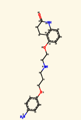 Nc1ccc(OCCCNCCOc2cccc3c2CCC(=O)N3)cc1